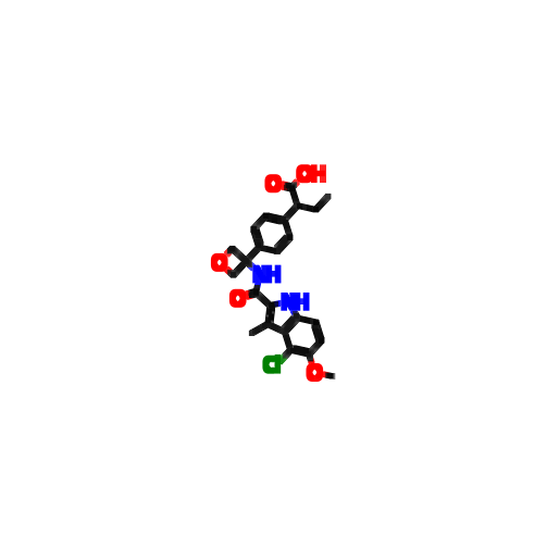 CCC(C(=O)O)c1ccc(C2(NC(=O)c3[nH]c4ccc(OC)c(Cl)c4c3C)COC2)cc1